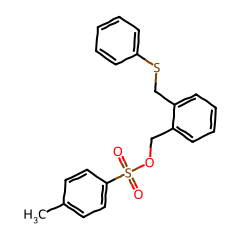 Cc1ccc(S(=O)(=O)OCc2ccccc2CSc2ccccc2)cc1